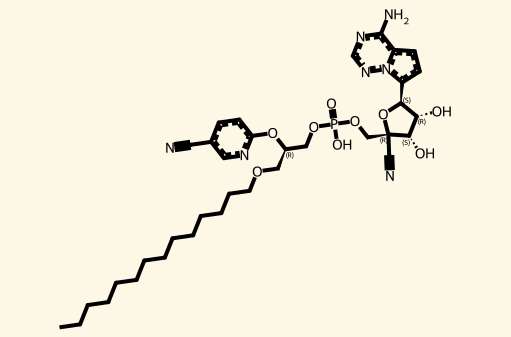 CCCCCCCCCCCCCCOC[C@H](COP(=O)(O)OC[C@@]1(C#N)O[C@@H](c2ccc3c(N)ncnn23)[C@H](O)[C@@H]1O)Oc1ccc(C#N)cn1